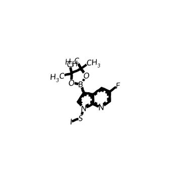 CC1(C)OB(c2cn(SI)c3ncc(F)cc23)OC1(C)C